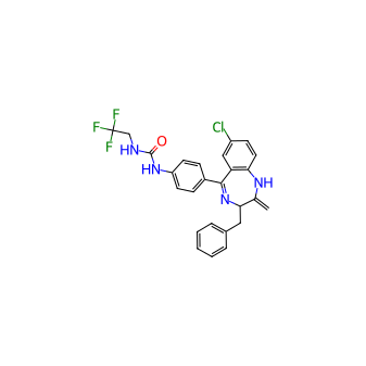 C=C1Nc2ccc(Cl)cc2C(c2ccc(NC(=O)NCC(F)(F)F)cc2)=NC1Cc1ccccc1